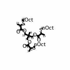 CCCCCCCCSC(C)C(=O)OCC(C)(COC(=O)C(C)SCCCCCCCC)COC(=O)C(C)SCCCCCCCC